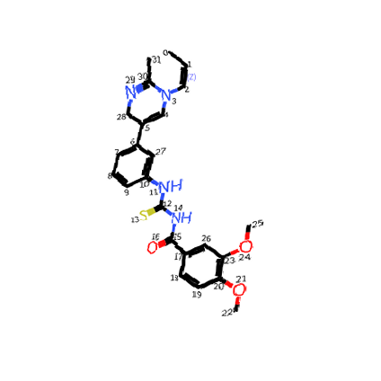 C/C=C\N1C=C(c2cccc(NC(=S)NC(=O)c3ccc(OC)c(OC)c3)c2)CN=C1C